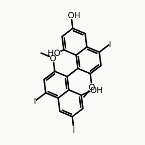 COc1cc(I)c2cc(O)cc(O)c2c1-c1c(OC)cc(I)c2cc(I)cc(O)c12